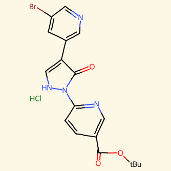 CC(C)(C)OC(=O)c1ccc(-n2[nH]cc(-c3cncc(Br)c3)c2=O)nc1.Cl